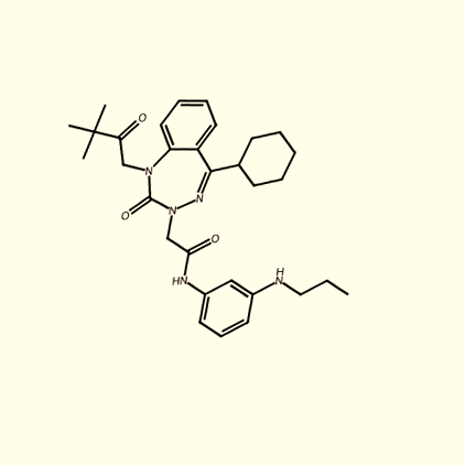 CCCNc1cccc(NC(=O)CN2N=C(C3CCCCC3)c3ccccc3N(CC(=O)C(C)(C)C)C2=O)c1